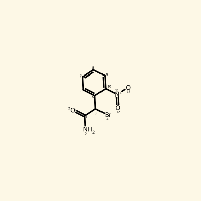 NC(=O)C(Br)c1ccccc1[N+](=O)[O-]